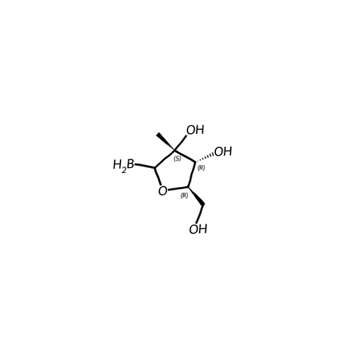 BC1O[C@H](CO)[C@@H](O)[C@@]1(C)O